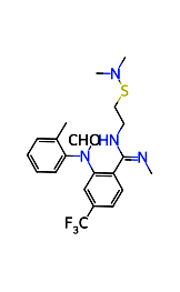 C/N=C(/NCCSN(C)C)c1ccc(C(F)(F)F)cc1N(C=O)c1ccccc1C